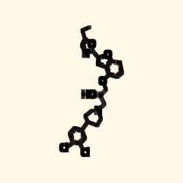 CCc1cnc(-c2cc3c(OC[C@@H](O)CN4CCC(c5ccc(Cl)c(Cl)c5)CC4)cccc3o2)o1